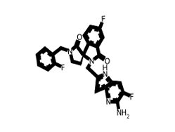 Nc1nc2cc(CN3C(=O)c4cc(F)ccc4[C@]34CCN(Cc3ccccc3F)C4=O)[nH]c2cc1F